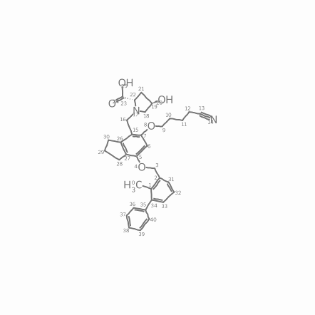 Cc1c(COc2cc(OCCCCC#N)c(CN3C[C@H](O)C[C@H]3C(=O)O)c3c2CCC3)cccc1-c1ccccc1